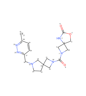 O=C1NC2(CO1)CN(C(=O)N1CC3(CCN(Cc4ccc(C(F)(F)F)nn4)C3)C1)C2